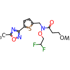 COCCC(=O)N(Cc1ccc(-c2noc(C(F)(F)F)n2)s1)OCC(F)F